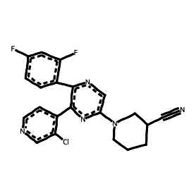 N#CC1CCCN(c2cnc(-c3ccc(F)cc3F)c(-c3ccncc3Cl)n2)C1